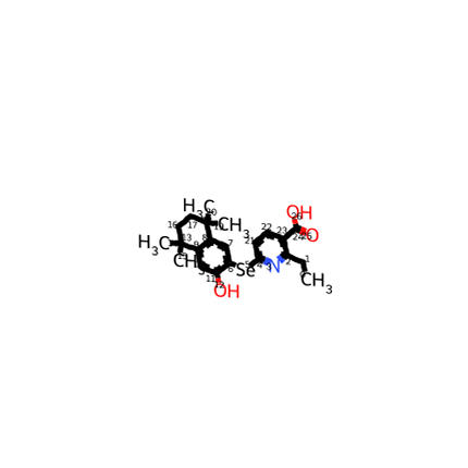 CCc1nc([Se]c2cc3c(cc2O)C(C)(C)CCC3(C)C)ccc1C(=O)O